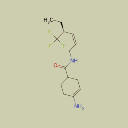 CC[C@@H](/C=C\CNC(=O)C1CC=C(N)CC1)C(F)(F)F